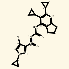 O=C(/N=[SH](=O)/c1nn(C2CC2)cc1F)Nc1c2c(nc(C3CC3)c1C1CC1)CCC2